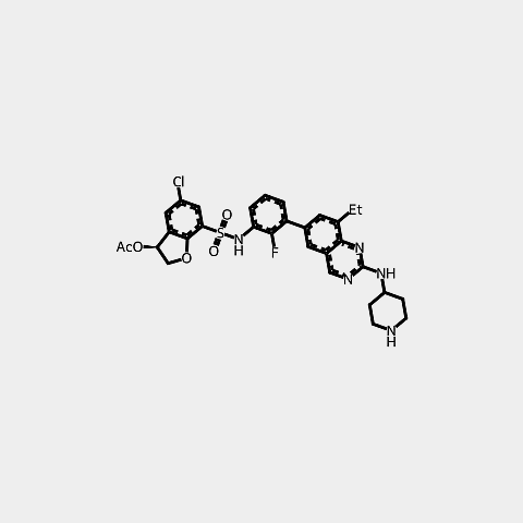 CCc1cc(-c2cccc(NS(=O)(=O)c3cc(Cl)cc4c3OC[C@H]4OC(C)=O)c2F)cc2cnc(NC3CCNCC3)nc12